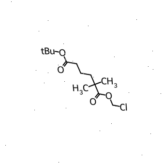 CC(C)(C)OC(=O)CCCC(C)(C)C(=O)OCCl